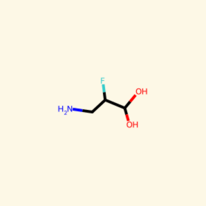 NCC(F)C(O)O